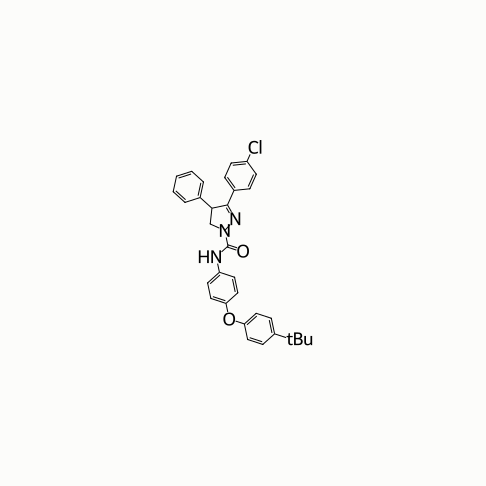 CC(C)(C)c1ccc(Oc2ccc(NC(=O)N3CC(c4ccccc4)C(c4ccc(Cl)cc4)=N3)cc2)cc1